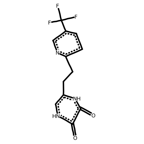 O=c1[nH]cc(CCc2ccc(C(F)(F)F)cn2)[nH]c1=O